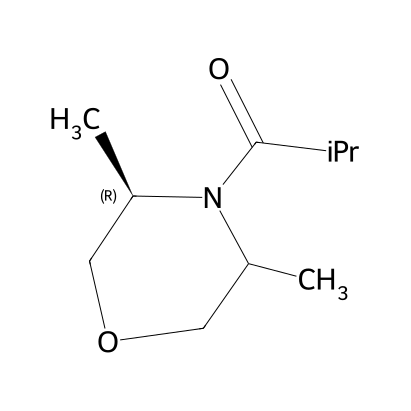 CC(C)C(=O)N1C(C)COC[C@H]1C